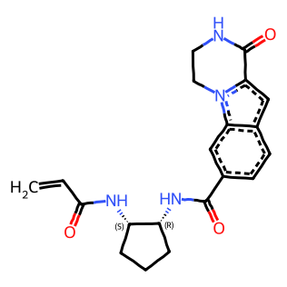 C=CC(=O)N[C@H]1CCC[C@H]1NC(=O)c1ccc2cc3n(c2c1)CCNC3=O